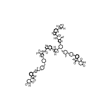 Cn1c(=O)n(C2CCC(=O)NC2=O)c2cccc(N3CCN([C@@H]4CCN(C[C@H]5CC[C@H](n6cc(NC(=O)c7cnn8ccc(N9C[C@H]%10C[C@@H]9CO%10)nc78)c(C(F)F)n6)CC5C5O[C@@H]6C[C@H]5N(c5ccn7ncc(C(=O)Nc8cn([C@H]9CC[C@H](CN%10CCN(CC%11(F)CN(c%12cccc%13c%12n(C)c(=O)n%13C%12CCC(=O)NC%12=O)C%11)CC%10)CC9)nc8C(F)F)c7n5)C6)C[C@@H]4F)CC3)c21